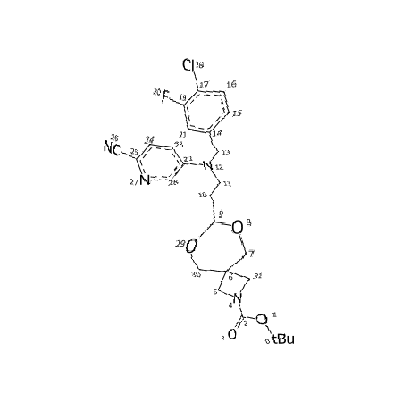 CC(C)(C)OC(=O)N1CC2(COC(CCN(Cc3ccc(Cl)c(F)c3)c3ccc(C#N)nc3)OC2)C1